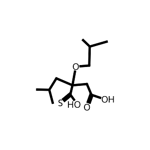 CC(C)COC(CC(=O)O)(CC(C)C)C(O)=S